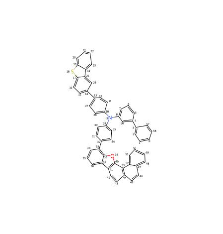 c1ccc(-c2cccc(N(c3ccc(-c4ccc5sc6ccccc6c5c4)cc3)c3ccc(-c4cccc5c4oc4c5ccc5ccc6ccccc6c54)cc3)c2)cc1